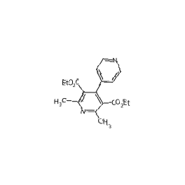 CCOC(=O)c1c(C)nc(C)c(C(=O)OCC)c1-c1ccncc1